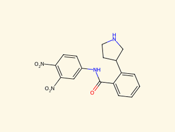 O=C(Nc1ccc([N+](=O)[O-])c([N+](=O)[O-])c1)c1ccccc1C1CCNC1